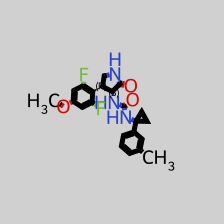 COc1cc(F)c([C@@H]2CNC(=O)[C@H]2NC(=O)NC2(c3cccc(C)c3)CC2)c(F)c1